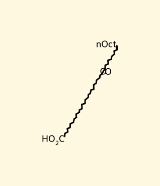 CCCCCCCC/C=C\CCCCCCCC(=O)OCCCCCCCCCCCCCCCCCCCCCCCCCCCC(=O)O